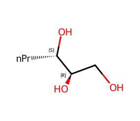 CCC[C@H](O)[C@H](O)CO